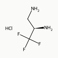 Cl.NC[C@@H](N)C(F)(F)F